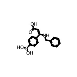 O=C(O)C=C(NCc1ccccc1)c1ccc(B(O)O)cc1